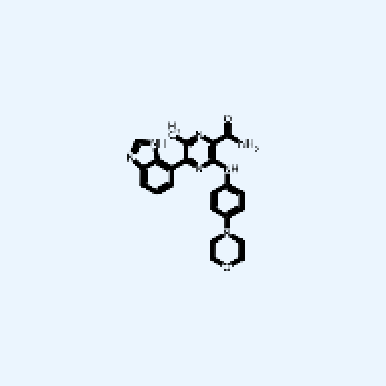 Cc1nc(C(N)=O)c(Nc2ccc(N3CCOCC3)cc2)nc1-c1cccc2nc[nH]c12